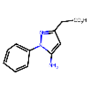 Nc1cc(CC(=O)O)nn1-c1ccccc1